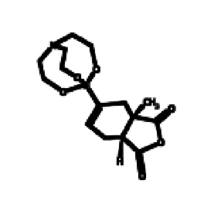 C[C@]12CC([Si]34OCCN(CCO3)CCO4)=CC[C@H]1C(=O)OC2=O